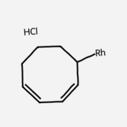 Cl.[Rh][CH]1C=CC=CCCC1